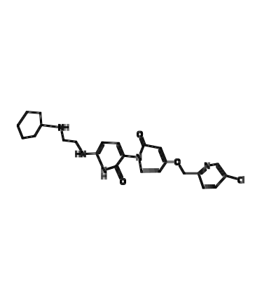 O=c1[nH]c(NCCNC2CCCCC2)ccc1-n1ccc(OCc2ccc(Cl)cn2)cc1=O